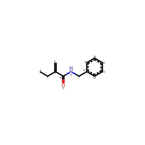 C=C(CC)C(=O)NCc1ccccc1